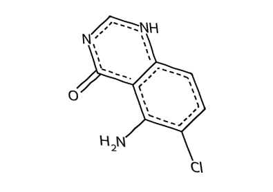 Nc1c(Cl)ccc2[nH]cnc(=O)c12